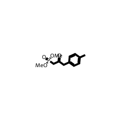 COP(=O)(CC(=O)Cc1ccc(C)cc1)OC